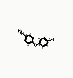 CCc1ccc(Oc2ccc([N+]#N)cc2)cc1